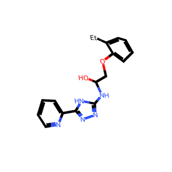 CCc1ccccc1OCC(O)Nc1nnc(-c2ccccn2)[nH]1